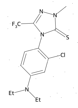 CCN(CC)c1ccc(-n2c(C(F)(F)F)nn(C)c2=S)c(Cl)c1